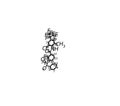 CCN(C(=O)c1cccnc1)c1cccc(C(=O)Nc2c(C)cc(C(F)(C(F)(F)F)C(F)(F)F)cc2Cl)c1F